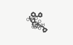 CO[C@@]1(NC(=O)Cc2ccccc2)C(=O)N2C(C(=O)OC(c3ccccc3)c3ccccc3)=C(COC(C)=O)CS(=O)(=O)[C@H]21